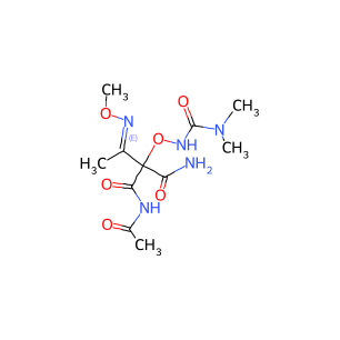 CO/N=C(\C)C(ONC(=O)N(C)C)(C(N)=O)C(=O)NC(C)=O